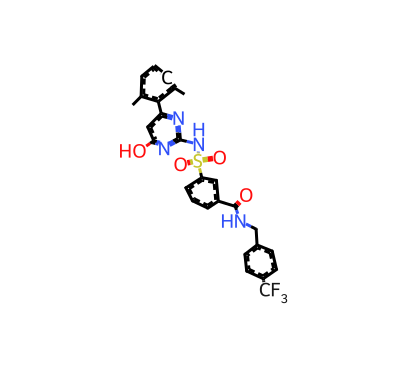 Cc1cccc(C)c1-c1cc(O)nc(NS(=O)(=O)c2cccc(C(=O)NCc3ccc(C(F)(F)F)cc3)c2)n1